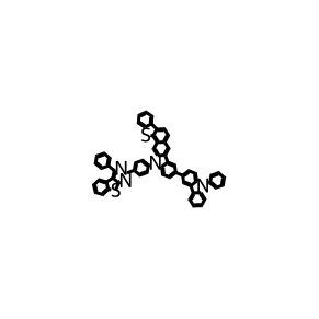 c1ccc(-c2nc(-c3ccc(-n4c5ccc(-c6ccc7c(c6)c6ccccc6n7-c6ccccc6)cc5c5cc6ccc7c8ccccc8sc7c6cc54)cc3)nc3sc4ccccc4c23)cc1